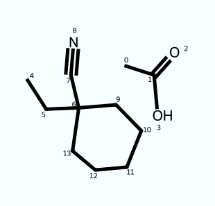 CC(=O)O.CCC1(C#N)CCCCC1